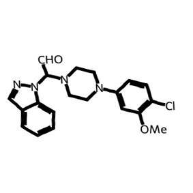 COc1cc(N2CCN(C(C=O)n3ncc4ccccc43)CC2)ccc1Cl